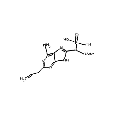 C=CCc1nc(N)c2nc(C(OC)P(=O)(O)O)[nH]c2n1